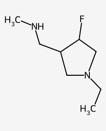 CCN1CC(F)C(CNC)C1